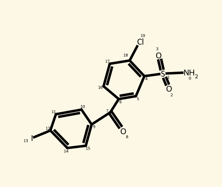 NS(=O)(=O)c1cc(C(=O)c2ccc(I)cc2)ccc1Cl